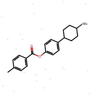 CCCCC1CCC(c2ccc(OC(=O)c3ccc(C)cc3)cc2)CC1